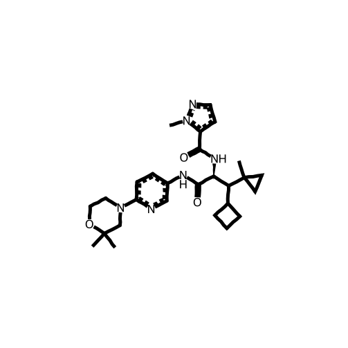 Cn1nccc1C(=O)N[C@H](C(=O)Nc1ccc(N2CCOC(C)(C)C2)nc1)C(C1CCC1)C1(C)CC1